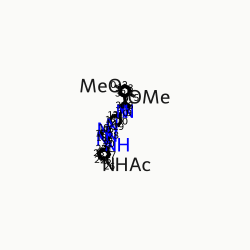 COc1ccc(OC)c(-c2cnn(C3CCN(c4ncnc(Nc5cccc(NC(C)=O)c5)n4)CC3)c2)c1